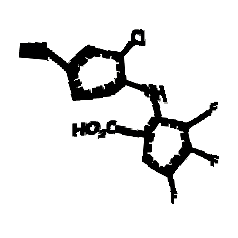 C#Cc1ccc(Nc2c(C(=O)O)cc(F)c(F)c2F)c(Cl)c1